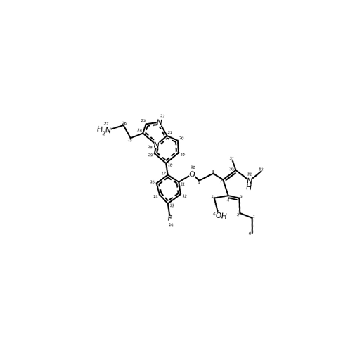 CCC/C=C(CO)/C(CCOc1cc(F)ccc1-c1ccc2ncc(CCN)n2c1)=C(/C)NC